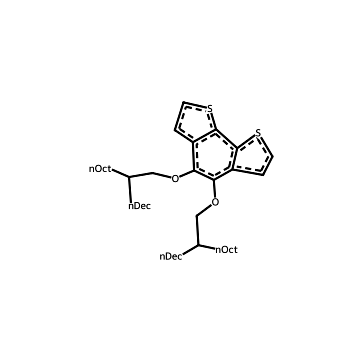 CCCCCCCCCCC(CCCCCCCC)COc1c(OCC(CCCCCCCC)CCCCCCCCCC)c2ccsc2c2sccc12